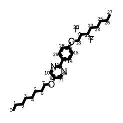 CCCCCCCCOc1cnc(-c2ccc(OC[C@H](F)[C@@H](F)CCCCC)cc2)nc1